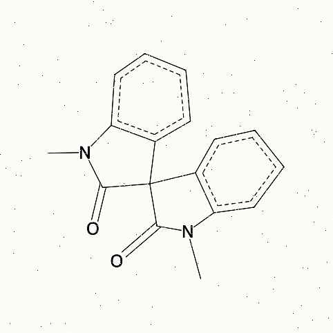 CN1C(=O)C2(C(=O)N(C)c3ccccc32)c2ccccc21